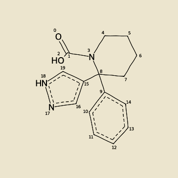 O=C(O)N1CCCCC1(c1ccccc1)c1cn[nH]c1